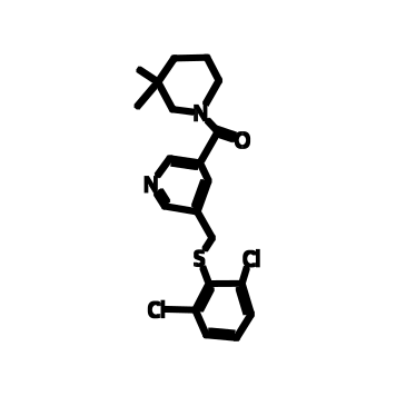 CC1(C)CCCN(C(=O)c2cncc(CSc3c(Cl)cccc3Cl)c2)C1